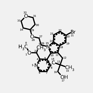 COC(C)c1ncccc1-c1c(CC(C)(C)CO)c2cc(Br)ccc2n1CCOC1CCOCC1